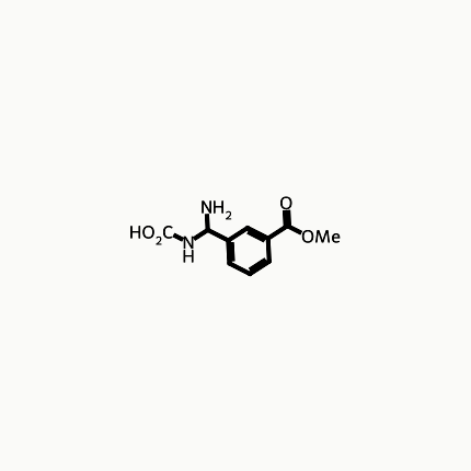 COC(=O)c1cccc(C(N)NC(=O)O)c1